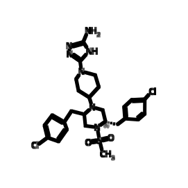 CS(=O)(=O)N1CC(Cc2ccc(Cl)cc2)N(C2CCN(c3nnc(N)[nH]3)CC2)C[C@@H]1Cc1ccc(Cl)cc1